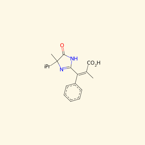 C/C(C(=O)O)=C(/C1=NC(C)(C(C)C)C(=O)N1)c1ccccc1